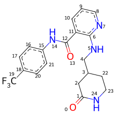 O=C1CC(CNc2ncccc2C(=O)Nc2ccc(C(F)(F)F)cc2)CCN1